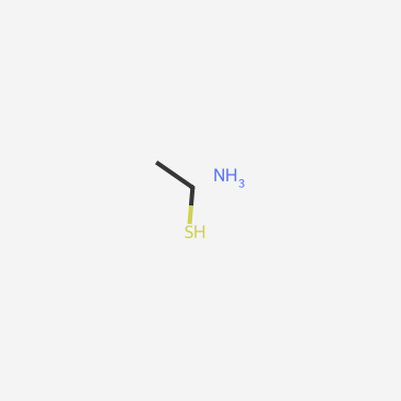 CCS.N